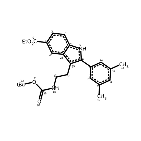 CCOC(=O)c1ccc2[nH]c(-c3cc(C)cc(C)c3)c(CCNC(=O)OC(C)(C)C)c2c1